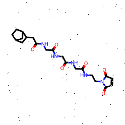 O=C(CNC(=O)CNC(=O)CNC(=O)CC1CC2CCC1C2)NCCN1C(=O)C=CC1=O